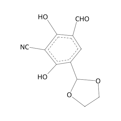 N#Cc1c(O)c(C=O)cc(C2OCCO2)c1O